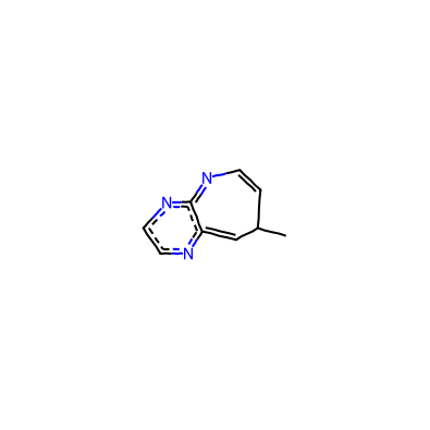 CC1C=CN=c2nccnc2=C1